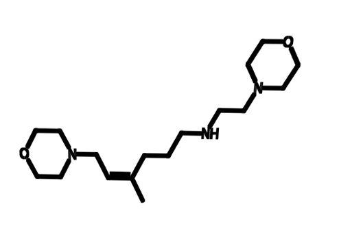 C/C(=C/CN1CCOCC1)CCCNCCN1CCOCC1